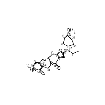 CCN(c1cc2c(s1)CCN(Cc1c(C)cc(C)[nH]c1=O)C2=O)[C@H]1CC[C@H](N)CC1